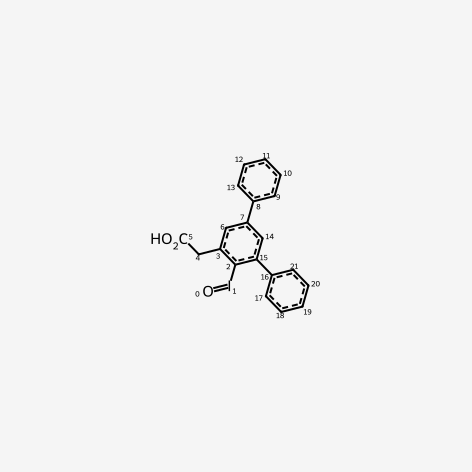 O=Ic1c(CC(=O)O)cc(-c2ccccc2)cc1-c1ccccc1